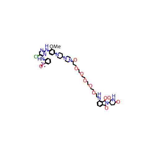 COc1cc(N2CCC(N3CCN(C(=O)CCOCCOCCOCCOCCOCCNc4cccc5c4C(=O)N(C4CCC(=O)NC4=O)C5=O)CC3)CC2)ccc1Nc1ncc(Cl)c(Nc2ccccc2P(C)(C)=O)n1